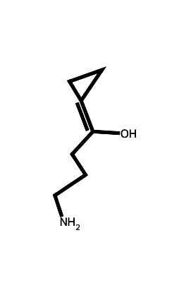 NCCCC(O)=C1CC1